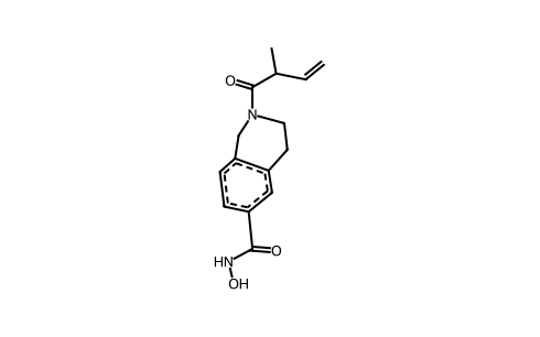 C=CC(C)C(=O)N1CCc2cc(C(=O)NO)ccc2C1